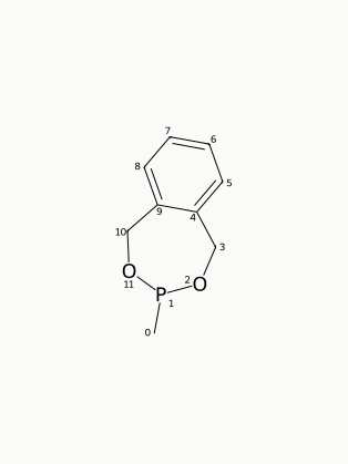 CP1OCc2ccccc2CO1